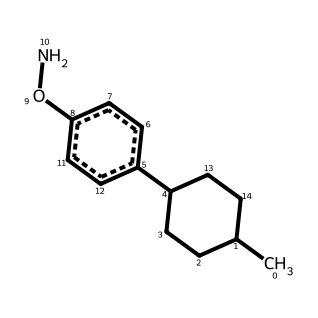 CC1CCC(c2ccc(ON)cc2)CC1